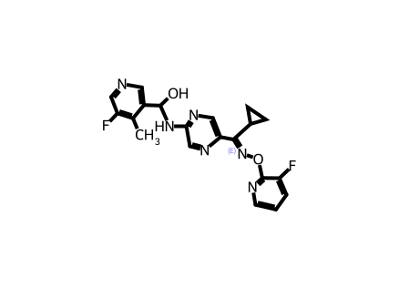 Cc1c(F)cncc1C(O)Nc1cnc(/C(=N/Oc2ncccc2F)C2CC2)cn1